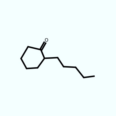 CCCCCC1CCCCC1=O